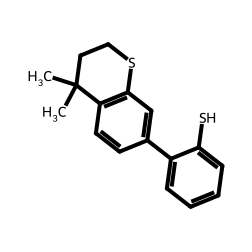 CC1(C)CCSc2cc(-c3ccccc3S)ccc21